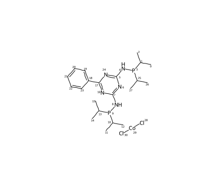 CC(C)P(Nc1nc(NP(C(C)C)C(C)C)nc(-c2ccccc2)n1)C(C)C.[Cl][Co][Cl]